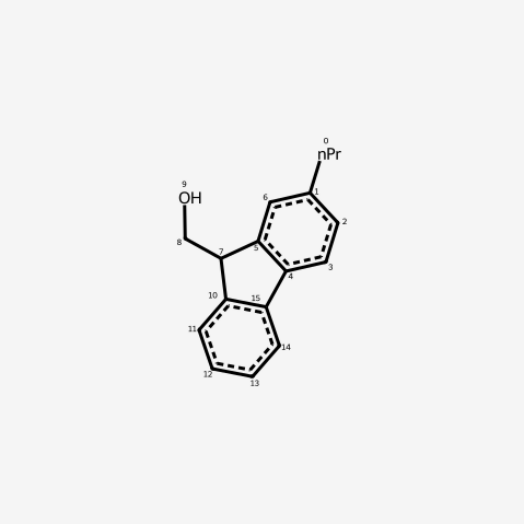 CCCc1ccc2c(c1)C(CO)c1ccccc1-2